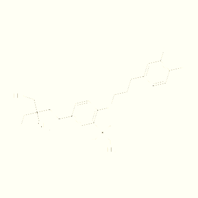 Cl.NC(CO)(CO)CCc1ccc(OCCCc2ccc(F)c(F)c2)c(C(F)(F)F)c1